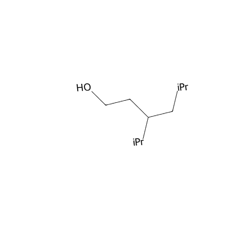 CC(C)CC(CCO)C(C)C